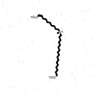 CCCCCCCC/C=C\CCCCCCCC[N+](C)(C)CCCCCCCCCCCCCCCCCC(=O)[O-]